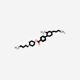 CCCCC[C@H]1CC[C@H](OC(=O)c2ccc(C3CCC(CCCC)CC3C)cc2)CC1